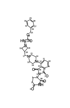 O=C1CCC(N2C(=O)c3cccc(N4CCN(CC5CN(NC(=O)OCc6ccccc6)C5)CC4)c3C2=O)C(=O)N1